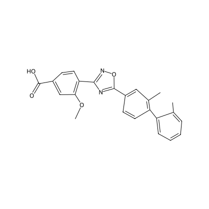 COc1cc(C(=O)O)ccc1-c1noc(-c2ccc(-c3ccccc3C)c(C)c2)n1